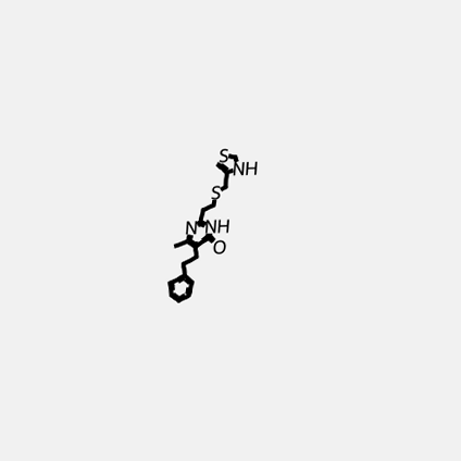 Cc1nc(CCSCC2=CSCN2)[nH]c(=O)c1CCc1ccccc1